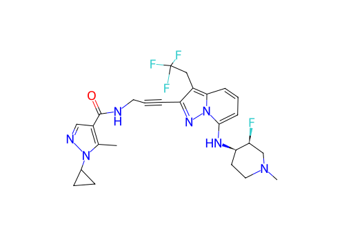 Cc1c(C(=O)NCC#Cc2nn3c(N[C@@H]4CCN(C)C[C@@H]4F)cccc3c2CC(F)(F)F)cnn1C1CC1